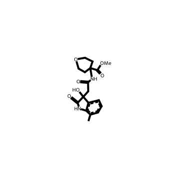 COC(=O)C1(NC(=O)CC2(O)C(=O)Nc3c(C)cccc32)CCOCC1